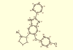 CC(=O)N1CCCC1c1cc2[nH]c(-c3ccccn3)nc2cc1Oc1ccc(Cl)cn1